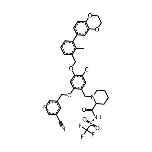 Cc1c(COc2cc(OCc3cncc(C#N)c3)c(CN3CCCCC3C(=O)NS(=O)(=O)C(F)(F)F)cc2Cl)cccc1-c1ccc2c(c1)OCCO2